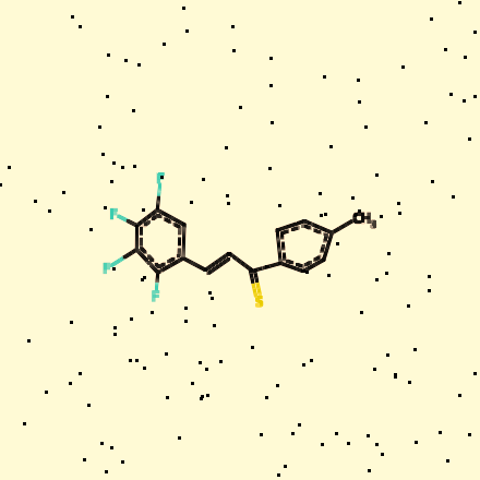 Cc1ccc(C(=S)C=Cc2cc(F)c(F)c(F)c2F)cc1